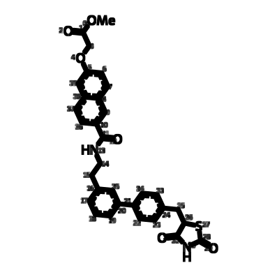 COC(=O)COc1ccc2cc(C(=O)NCCc3cccc(-c4ccc(CC5SC(=O)NC5=O)cc4)c3)ccc2c1